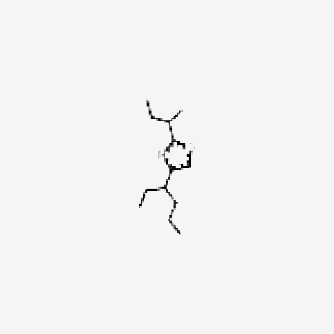 CCCC(CC)c1coc(C(C)CC)n1